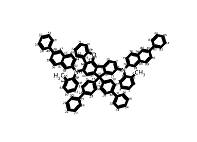 Cc1ccccc1N(c1ccc2c(c1)C(c1ccc(-c3ccccc3)cc1)(c1ccc(-c3ccccc3)cc1)c1cc(N(c3ccc4cc(-c5ccccc5)ccc4c3)c3ccccc3C)c3c(oc4ccccc43)c1-2)c1ccc2cc(-c3ccccc3)ccc2c1